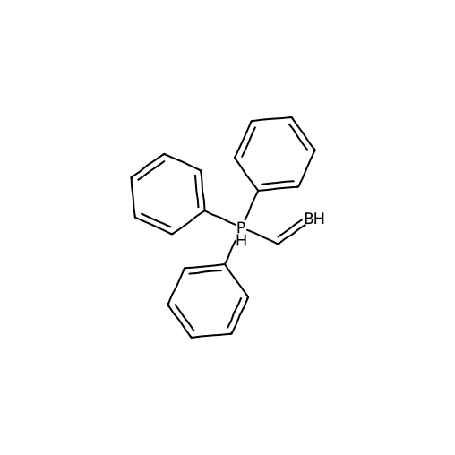 B=C[PH](c1ccccc1)(c1ccccc1)c1ccccc1